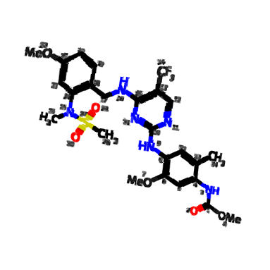 COC(=O)Nc1cc(OC)c(Nc2ncc(C(F)(F)F)c(NCc3ccc(OC)cc3N(C)S(C)(=O)=O)n2)cc1C